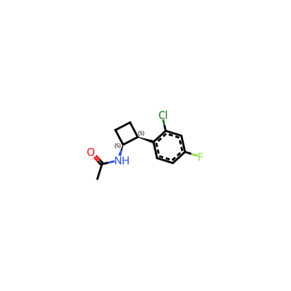 CC(=O)N[C@H]1CC[C@H]1c1ccc(F)cc1Cl